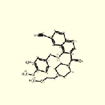 COCCN1CCN(C(=O)c2cnc3ccc(C#N)cc3c2NCc2ccc(OC)c(Cl)c2)CC1